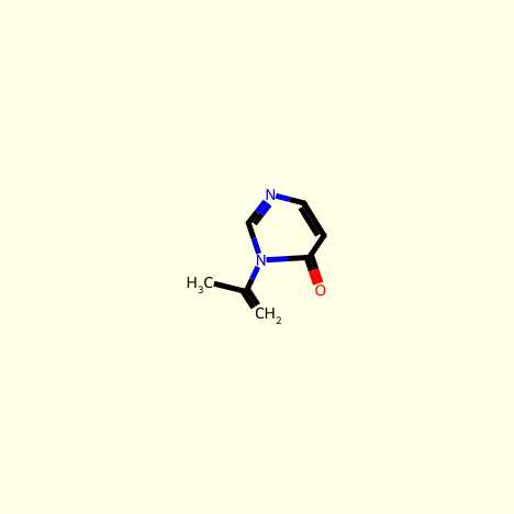 C=C(C)n1cnccc1=O